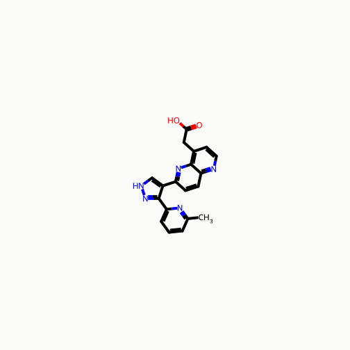 Cc1cccc(-c2n[nH]cc2-c2ccc3nccc(CC(=O)O)c3n2)n1